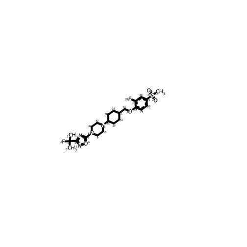 CC(C)(F)c1noc(N2CCN(C3CCC(COc4ccc(S(C)(=O)=O)cc4F)CC3)CC2)n1